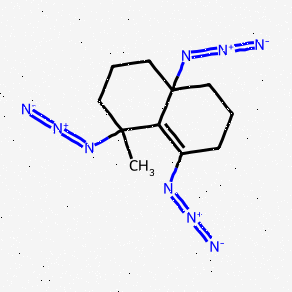 CC1(N=[N+]=[N-])CCCC2(N=[N+]=[N-])CCCC(N=[N+]=[N-])=C12